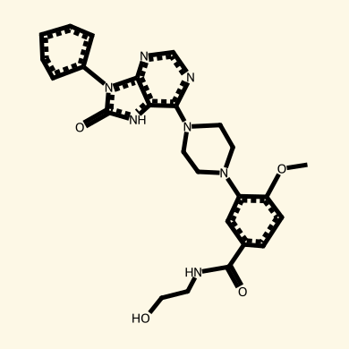 COc1ccc(C(=O)NCCO)cc1N1CCN(c2ncnc3c2[nH]c(=O)n3-c2ccccc2)CC1